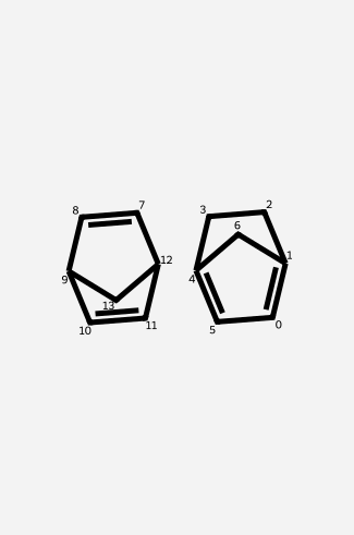 C1=C2CCC(=C1)C2.C1=CC2C=CC1C2